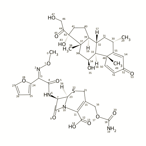 CO/N=C(\C(=O)N[C@@H]1C(=O)N2C(C(=O)O)=C(COC(N)=O)CS[C@H]12)c1ccco1.C[C@H]1C[C@@H]2[C@H]([C@@H](O)C[C@@]3(C)[C@H]2CC[C@]3(O)C(=O)CO)[C@@]2(C)C=CC(=O)C=C12